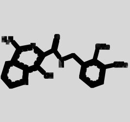 COc1cccc(CNC(=O)c2nc(N)c3cccnc3c2O)c1OC